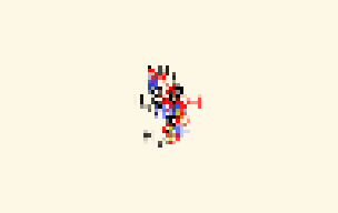 COC(=O)N1CCC[C@@H]1COC(=O)[C@]1(CCC(C)C)C(=O)C(C2=NS(=O)(=O)c3cc(NS(C)(=O)=O)ccc3N2)=C(O)c2ccccc21